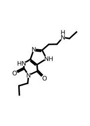 CCCn1c(=O)[nH]c2nc(CCNCC)[nH]c2c1=O